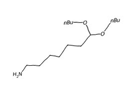 CCCCOC(CCCCCCN)OCCCC